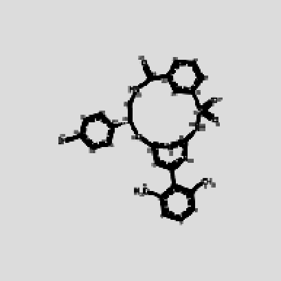 Cc1cccc(C)c1-c1cc2nc(n1)NS(=O)(=O)c1cccc(c1)C(=O)NC[C@@H](c1ccc(Br)cc1)O2